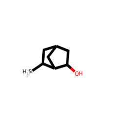 OC1CC2CC([SiH3])C1C2